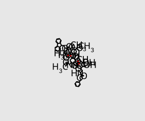 COCC1OC(OC2C(NC(C)=O)CC(NC(C)=O)C(OC3OC(CNC(=O)OCc4ccccc4)C(CO)C(CO)C3OC)C2CO)C(CO)C(NC(=O)OCC2c3ccccc3-c3ccccc32)C1OC